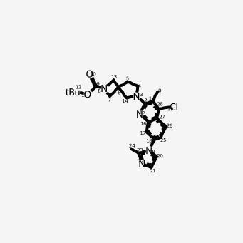 Cc1c(N2CCC3(CN(C(=O)OC(C)(C)C)C3)C2)nc2cc(-n3ccnc3C)ccc2c1Cl